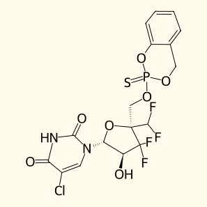 O=c1[nH]c(=O)n([C@@H]2O[C@@](COP3(=S)OCc4ccccc4O3)(C(F)F)C(F)(F)[C@H]2O)cc1Cl